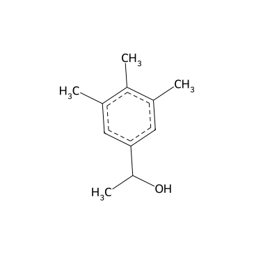 Cc1cc(C(C)O)cc(C)c1C